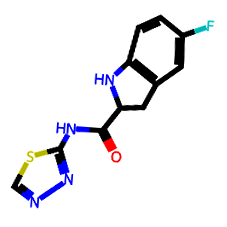 O=C(Nc1nncs1)C1Cc2cc(F)ccc2N1